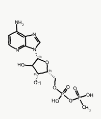 CP(=O)(O)OP(=O)(O)OC[C@H]1O[C@@H](n2cnc3c(N)ccnc32)C(O)[C@H]1O